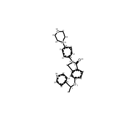 CC(Oc1ccc2c(c1)CN(c1ccc(N3CCOCC3)cc1)C2=O)c1ccncc1